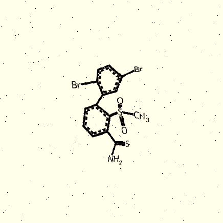 CS(=O)(=O)c1c(C(N)=S)cccc1-c1cc(Br)ccc1Br